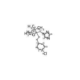 COC(CCc1ccc(Cl)cc1)(Cn1cncn1)C(C)(C)C